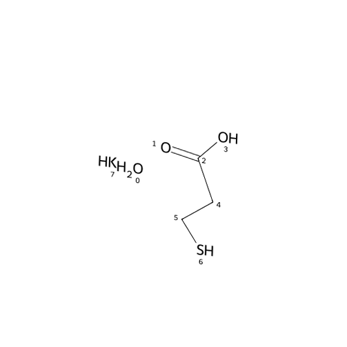 O.O=C(O)CCS.[KH]